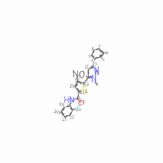 Cn1nc(-c2ccccc2)cc1-c1sc(C(=O)Nc2ccccc2F)cc1[N+](=O)[O-]